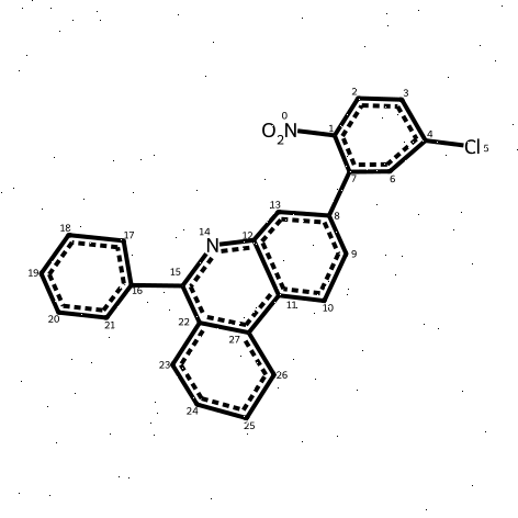 O=[N+]([O-])c1ccc(Cl)cc1-c1ccc2c(c1)nc(-c1ccccc1)c1ccccc12